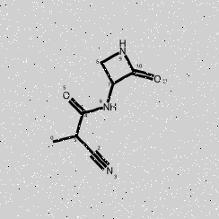 CC(C#N)C(=O)NC1CNC1=O